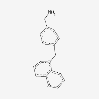 NCc1ccc(Cc2cccc3[c]cccc23)cc1